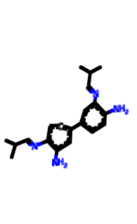 CC(C)C=Nc1ccc(-c2ccc(N)c(N=CC(C)C)c2)cc1N